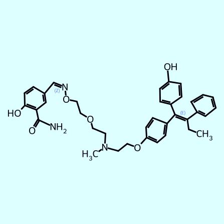 CC/C(=C(/c1ccc(O)cc1)c1ccc(OCCN(C)CCOCCO/N=C\c2ccc(O)c(C(N)=O)c2)cc1)c1ccccc1